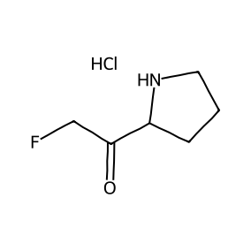 Cl.O=C(CF)C1CCCN1